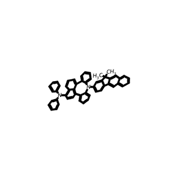 CC1(C)c2cc(N3c4ccccc4-c4cccc5c(N(c6ccccc6)c6ccccc6)ccc(c45)-c4ccccc43)ccc2-c2cc3ccccc3cc21